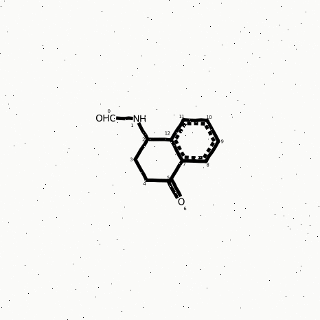 O=CNC1CCC(=O)c2ccccc21